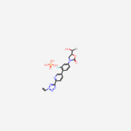 C=Cn1nnc(-c2ccc(-c3ccc(N4CC(C(O)CC)OC4=O)cc3F)cn2)n1.O=P(O)(O)O